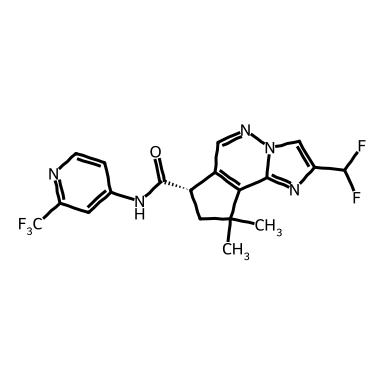 CC1(C)C[C@H](C(=O)Nc2ccnc(C(F)(F)F)c2)c2cnn3cc(C(F)F)nc3c21